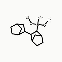 CCC[Si](OCC)(OCC)C1C2CCC(C2)C1C1CC2CCC1C2